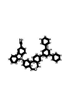 N#Cc1ccc2c(c1)c1ccccc1n2-c1ccc2c(c1)-c1ccc(-c3cc(-c4ccccc4)cc(-c4ccccc4)c3)cc1COC2